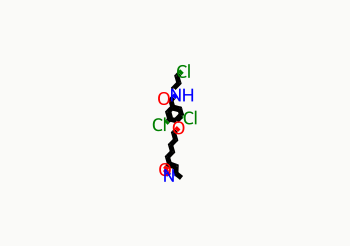 Cc1cc(CCCCCOc2c(Cl)cc(C(=O)NCCCCl)cc2Cl)on1